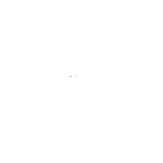 CC(C)[Si](Oc1ccc(Br)cc1F)(C(C)C)C(C)C